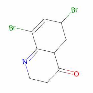 O=C1CCN=C2C(Br)=CC(Br)CC12